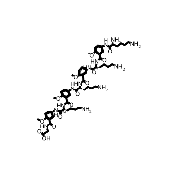 COc1ccc(NC(=O)[C@H](CCCCN)NC(=O)c2cc(NC(=O)[C@H](CCCCN)NC(=O)c3cc(NC(=O)[C@H](CCCCN)NC(=O)c4cc(NC(=O)[C@@H](N)CCCCN)ccc4OC)ccc3OC)ccc2OC)cc1C(=O)NCC(=O)O